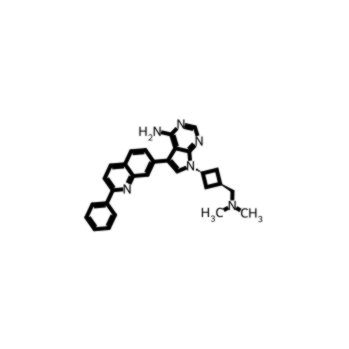 CN(C)C[C@H]1C[C@H](n2cc(-c3ccc4ccc(-c5ccccc5)nc4c3)c3c(N)ncnc32)C1